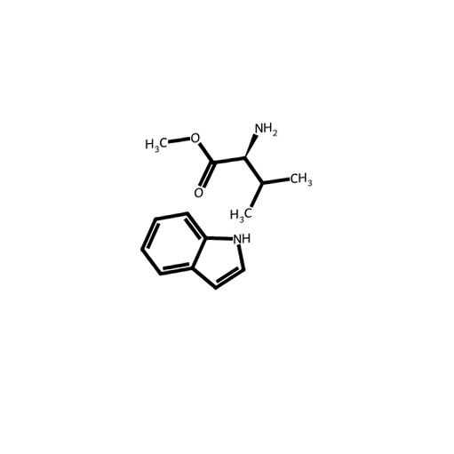 COC(=O)[C@@H](N)C(C)C.c1ccc2[nH]ccc2c1